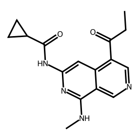 CCC(=O)c1cncc2c(NC)nc(NC(=O)C3CC3)cc12